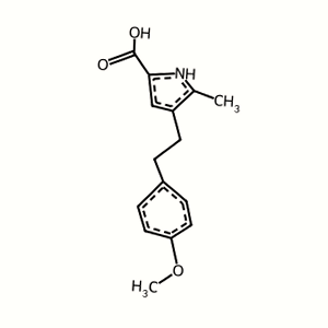 COc1ccc(CCc2cc(C(=O)O)[nH]c2C)cc1